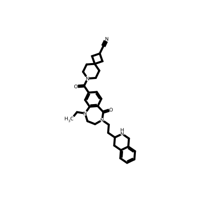 CCN1CCN(CCC2Cc3ccccc3CN2)C(=O)c2ccc(C(=O)N3CCC4(CC3)CC(C#N)C4)cc21